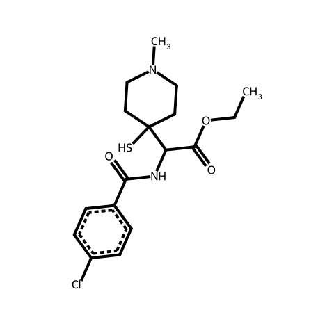 CCOC(=O)C(NC(=O)c1ccc(Cl)cc1)C1(S)CCN(C)CC1